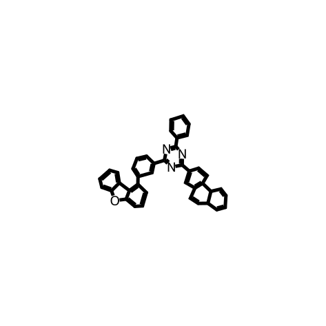 C1=CC2C=Cc3cc(-c4nc(-c5ccccc5)nc(-c5cccc(-c6cccc7oc8ccccc8c67)c5)n4)ccc3C2C=C1